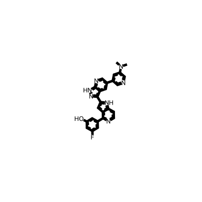 CN(C)c1cncc(-c2cnc3[nH]nc(-c4cc5c(-c6cc(O)cc(F)c6)nccc5[nH]4)c3c2)c1